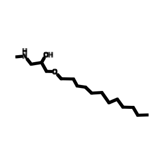 CCCCCCCCCCCCOCC(O)CNC